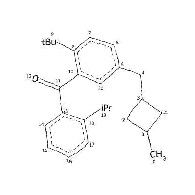 CC1CC(Cc2ccc(C(C)(C)C)c(C(=O)c3ccccc3C(C)C)c2)C1